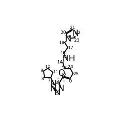 C1=C(c2nnnn2C2CCCC2)OC(CNCCCn2ccnc2)CC1